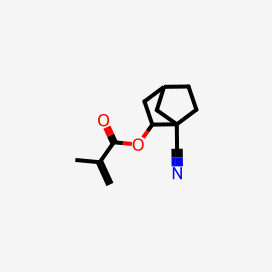 C=C(C)C(=O)OC1CC2CCC1(C#N)C2